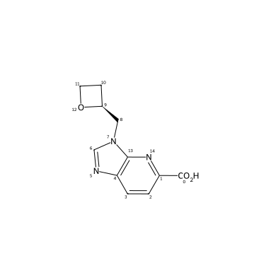 O=C(O)c1ccc2ncn(C[C@@H]3CCO3)c2n1